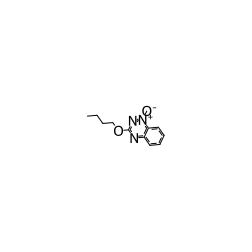 CCCCOc1nc2ccccc2[n+]([O-])n1